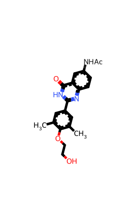 CC(=O)Nc1ccc2nc(-c3cc(C)c(OCCO)c(C)c3)[nH]c(=O)c2c1